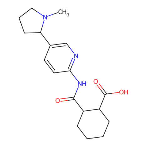 CN1CCCC1c1ccc(NC(=O)C2CCCCC2C(=O)O)nc1